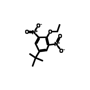 CCOc1c([N+](=O)[O-])cc(C(C)(C)C)cc1[N+](=O)[O-]